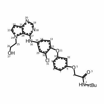 CC(C)(C)NC(=O)COc1cccc(Oc2ccc(Nc3ncnc4ccn(CCO)c34)cc2Cl)c1